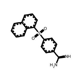 N=C(N)c1ccc(S(=O)(=O)c2cccc3ccccc23)cc1